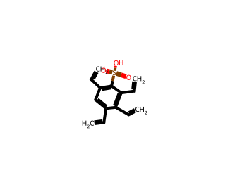 C=Cc1cc(C=C)c(S(=O)(=O)O)c(C=C)c1C=C